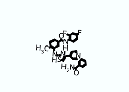 Cc1ccc(C(=O)Nc2ccc(F)cc2F)cc1Nc1nc(-c2ccncc2)cs1.NC(=O)c1ccccc1